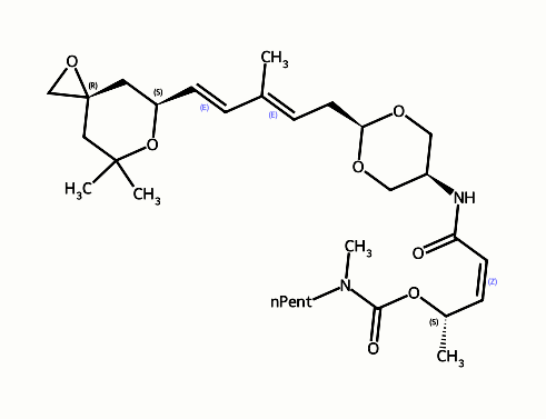 CCCCCN(C)C(=O)O[C@@H](C)/C=C\C(=O)N[C@H]1CO[C@@H](C/C=C(C)/C=C/[C@@H]2C[C@]3(CO3)CC(C)(C)O2)OC1